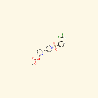 COC(=O)Oc1cccc(C2=CCN(S(=O)(=O)c3cccc(C(F)(F)F)c3)CC2)n1